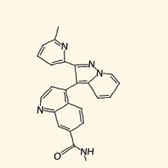 CNC(=O)c1ccc2c(-c3c(-c4cccc(C)n4)nn4ccccc34)ccnc2c1